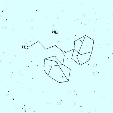 Br.CCCCP(C12CC3CC(CC(C3)C1)C2)C12CC3CC(CC(C3)C1)C2